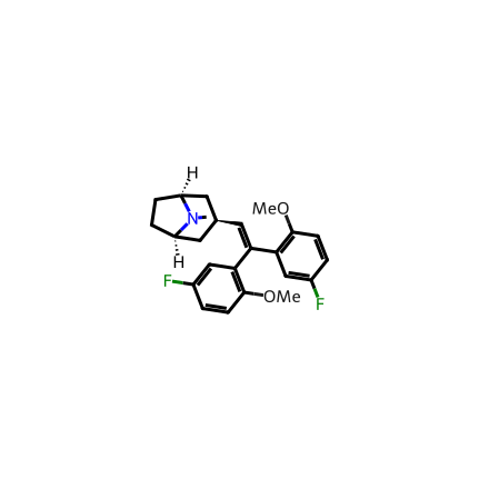 COc1ccc(F)cc1C(=C[C@H]1C[C@H]2CC[C@@H](C1)N2C)c1cc(F)ccc1OC